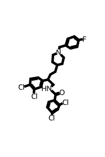 O=C(NCC(CCC1CCN(Cc2ccc(F)cc2)CC1)c1ccc(Cl)c(Cl)c1)c1ccc(Cl)cc1Cl